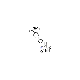 CNC(=O)c1ccc(-c2ccc(/C=C3\NC(=S)NC3=O)s2)cc1